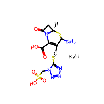 NC1S[C@@H]2CC(=O)N2C(C(=O)O)=C1CSc1nnnn1CS(=O)(=O)O.[NaH]